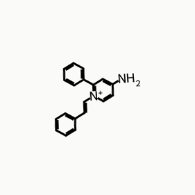 Nc1cc[n+](C=Cc2ccccc2)c(-c2ccccc2)c1